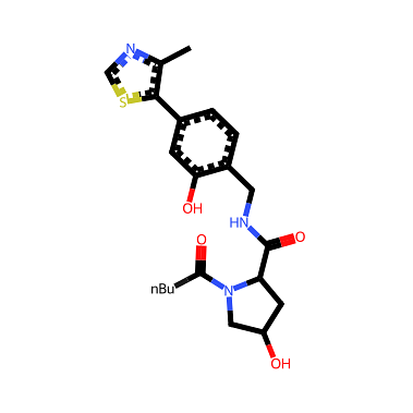 CCCCC(=O)N1CC(O)CC1C(=O)NCc1ccc(-c2scnc2C)cc1O